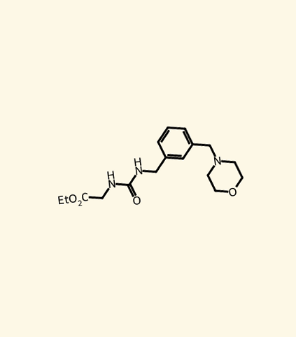 CCOC(=O)CNC(=O)NCc1cccc(CN2CCOCC2)c1